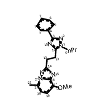 CCCn1nc(-c2ccccc2)nc1CCc1nc2c(OC)ccc(C)n2n1